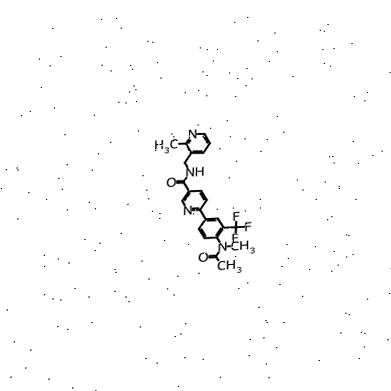 CC(=O)N(C)c1ccc(-c2ccc(C(=O)NCc3cccnc3C)cn2)cc1C(F)(F)F